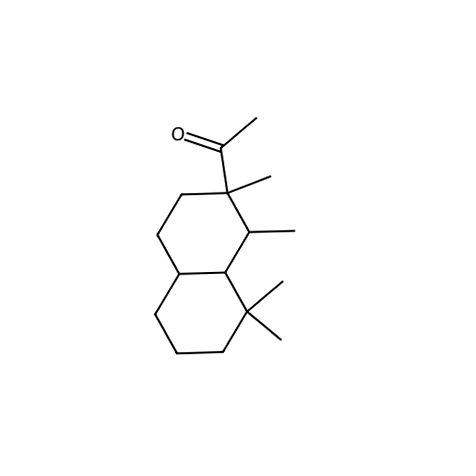 CC(=O)C1(C)CCC2CCCC(C)(C)C2C1C